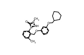 Cc1cccc(-n2[nH]n(C)c2=O)c1COc1cccc(OCC2CCCCC2)c1